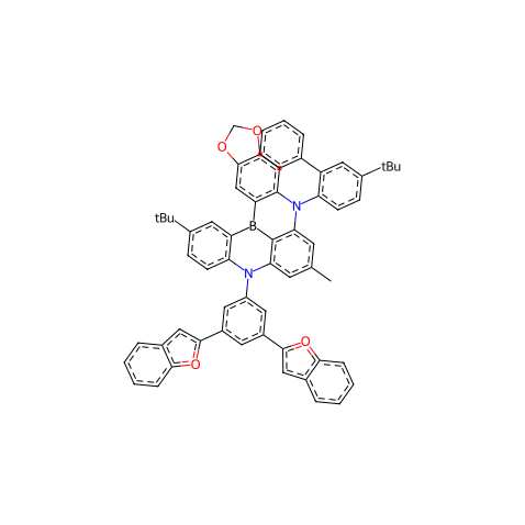 Cc1cc2c3c(c1)N(c1ccc(C(C)(C)C)cc1-c1ccccc1)c1cc4c(cc1B3c1cc(C(C)(C)C)ccc1N2c1cc(-c2cc3ccccc3o2)cc(-c2cc3ccccc3o2)c1)OCO4